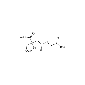 CCCCC(CC)COC(=O)CC(O)(CC(=O)O)C(=O)OC(C)=O